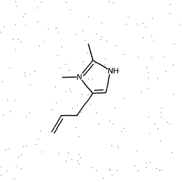 C=CCc1c[nH]c(C)[n+]1C